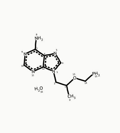 CC(Cn1cnc2c(N)ncnc21)OCP.O